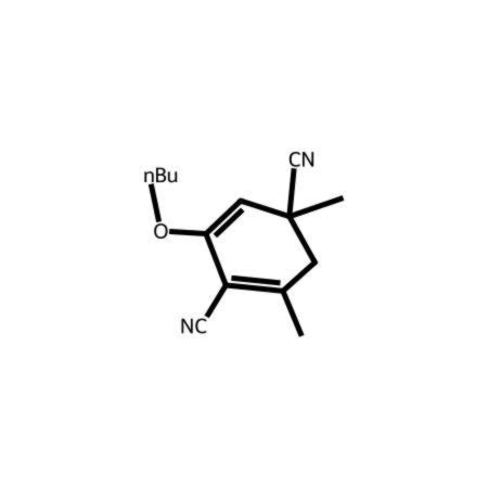 CCCCOC1=CC(C)(C#N)CC(C)=C1C#N